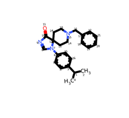 CC(C)c1ccc(N2C=NC(=O)C23CCN(Cc2ccccc2)CC3)cc1